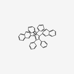 c1ccc(C2=C(c3ccc4ccccc4c3)[Si](c3ccccc3)(c3ccccc3)C(c3ccc4ccccc4c3)=C2c2ccccc2)cc1